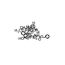 COc1c(C(=O)O)ccc(C(C)(C)C)c1C[C@H](NC(=O)C(N)c1csc(NC(=O)OCc2ccccc2)n1)B1OC2C[C@H]3C[C@@H](C3(C)C)[C@]2(C)O1